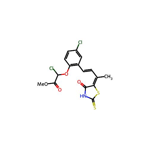 COC(=O)C(Cl)Oc1ccc(Cl)cc1C=CC(C)=C1SC(=S)NC1=O